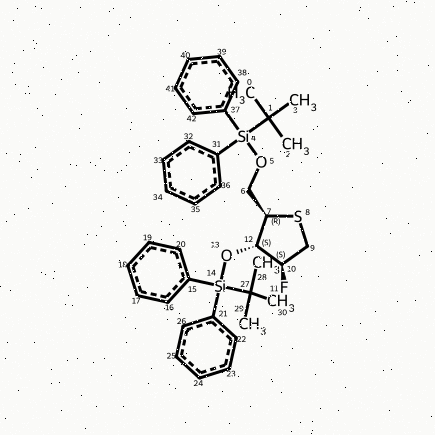 CC(C)(C)[Si](OC[C@H]1SC[C@@H](F)[C@@H]1O[Si](c1ccccc1)(c1ccccc1)C(C)(C)C)(c1ccccc1)c1ccccc1